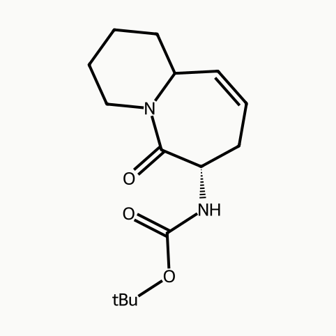 CC(C)(C)OC(=O)N[C@H]1CC=CC2CCCCN2C1=O